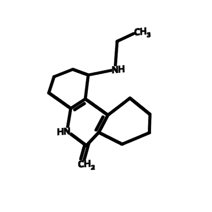 C=C1NC2=C(C3=C1CCCC3)C(NCC)CCC2